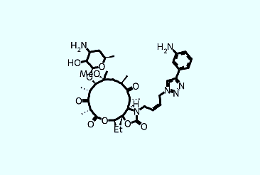 CC[C@H]1OC(=O)[C@H](C)C(=O)[C@H](C)[C@@H](O[C@@H]2O[C@H](C)CC(N)C2O)[C@](C)(OC)C[C@@H](C)C(=O)[C@H](C)[C@H]2N(C/C=C\Cn3cc(-c4cccc(N)c4)nn3)C(=O)O[C@]12C